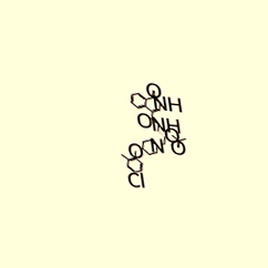 CC(=O)O[C@@H](CNC(=O)c1c[nH]c(=O)c2ccccc12)CN1CCC(Oc2ccc(Cl)cc2C)CC1